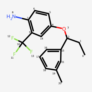 CCC(Oc1ccc(N)c(C(F)(F)F)c1)c1cccc(C)c1